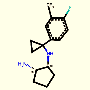 N[C@H]1CCC[C@@H]1NC1(c2ccc(F)c(C(F)(F)F)c2)CC1